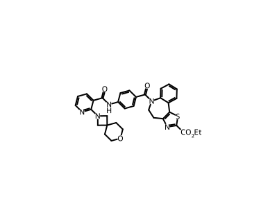 CCOC(=O)c1nc2c(s1)-c1ccccc1N(C(=O)c1ccc(NC(=O)c3cccnc3N3CC4(CCOCC4)C3)cc1)CC2